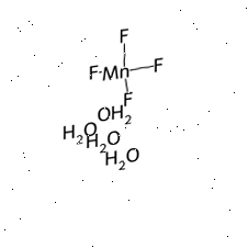 O.O.O.O.[F][Mn]([F])([F])[F]